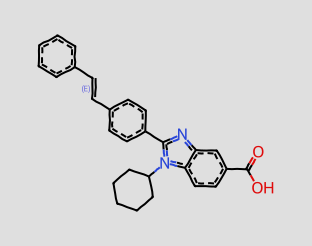 O=C(O)c1ccc2c(c1)nc(-c1ccc(/C=C/c3ccccc3)cc1)n2C1CCCCC1